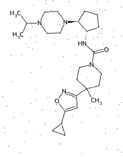 CC(C)N1CCN([C@H]2CCC[C@@H]2NC(=O)N2CCC(C)(c3cc(C4CC4)on3)CC2)CC1